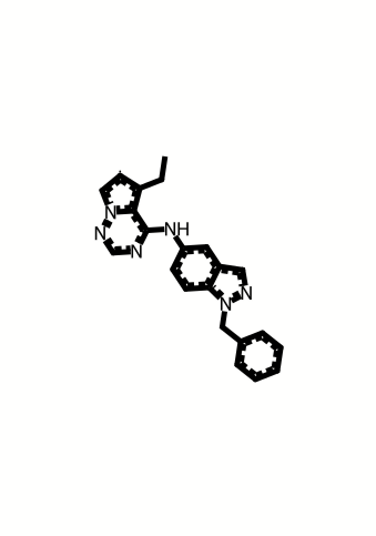 CCc1[c]cn2ncnc(Nc3ccc4c(cnn4Cc4ccccc4)c3)c12